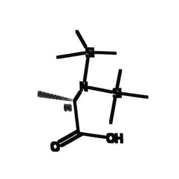 C[C@@H](C(=O)O)N([Si](C)(C)C)[Si](C)(C)C